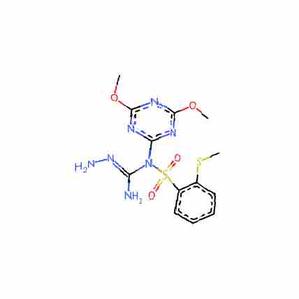 COc1nc(OC)nc(N(C(N)=NN)S(=O)(=O)c2ccccc2SC)n1